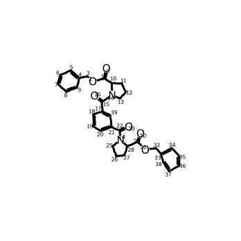 O=C(OCc1ccccc1)C1CCCN1C(=O)c1cccc(C(=O)N2CCCC2C(=O)OCc2ccccc2)c1